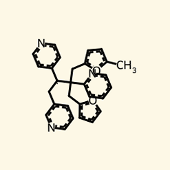 Cc1ccc(CC(Cc2ccco2)([C](Cc2cccnc2)c2ccncc2)c2ccccn2)o1